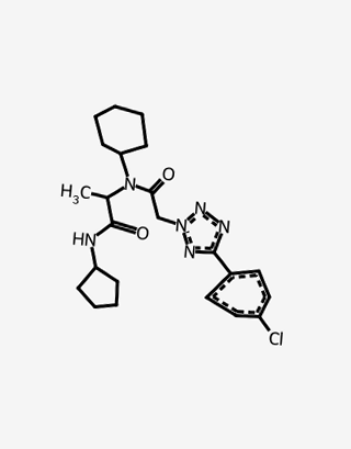 CC(C(=O)NC1CCCC1)N(C(=O)Cn1nnc(-c2ccc(Cl)cc2)n1)C1CCCCC1